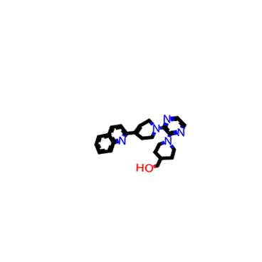 OCC1CCN(c2nccnc2N2CC=C(c3ccc4ccccc4n3)CC2)CC1